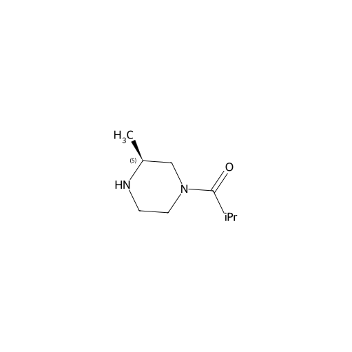 CC(C)C(=O)N1CCN[C@@H](C)C1